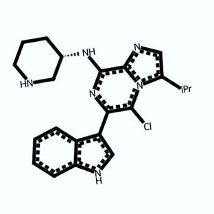 CC(C)c1cnc2c(N[C@H]3CCCNC3)nc(-c3c[nH]c4ccccc34)c(Cl)n12